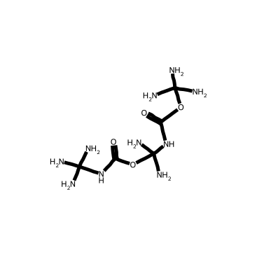 NC(N)(N)NC(=O)OC(N)(N)NC(=O)OC(N)(N)N